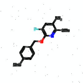 COc1ccc(COc2nc(OC)c([N+](=O)[O-])cc2F)cc1